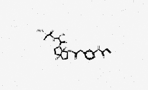 C=CC(=O)Nc1cccc(CC(=O)N[C@H]2CC[C@@H]3CCN(C(=O)[C@@H](NC(=O)[C@H](C)NC)C(C)(C)C)[C@@H]32)c1